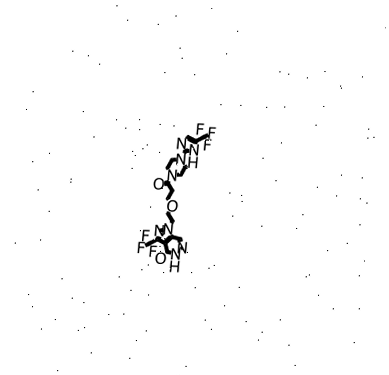 O=C(CCOCCn1nc(C(F)(F)F)c2c(=O)[nH]ncc21)N1CCN(c2ncc(C(F)(F)F)[nH]2)CC1